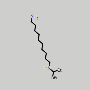 CCCC(CC)NCCCCCCCCCCN